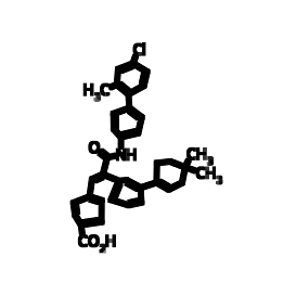 Cc1cc(Cl)ccc1-c1ccc(NC(=O)/C(=C/c2ccc(C(=O)O)cc2)c2cccc(C3=CCC(C)(C)CC3)c2)cc1